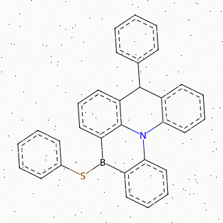 c1ccc(SB2c3ccccc3N3c4ccccc4C(c4ccccc4)c4cccc2c43)cc1